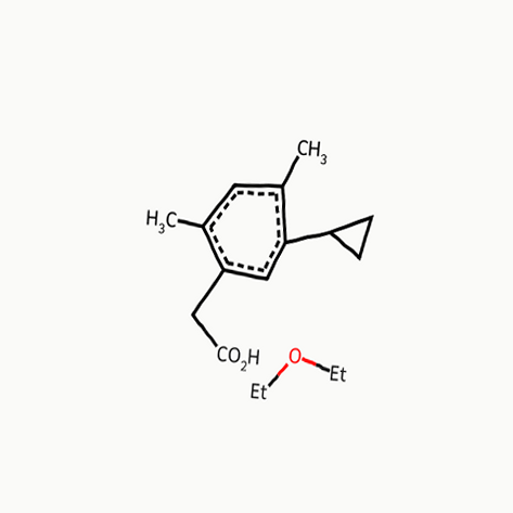 CCOCC.Cc1cc(C)c(C2CC2)cc1CC(=O)O